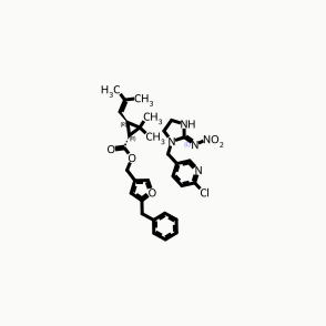 CC(C)=C[C@@H]1[C@@H](C(=O)OCc2coc(Cc3ccccc3)c2)C1(C)C.O=[N+]([O-])/N=C1\NCCN1Cc1ccc(Cl)nc1